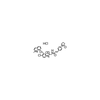 Cc1ccc2cccc(OCc3c(Cl)ccc(N(C)C(=O)CNC(=O)C=Cc4ccc(N5CCCC5=O)cc4)c3Cl)c2n1.Cl